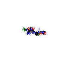 CCn1c(=C(C#N)C(=O)NCC(F)(F)F)sc(=CNc2ccc(F)c(NC(=O)CN3CCOCC3)c2)c1=O